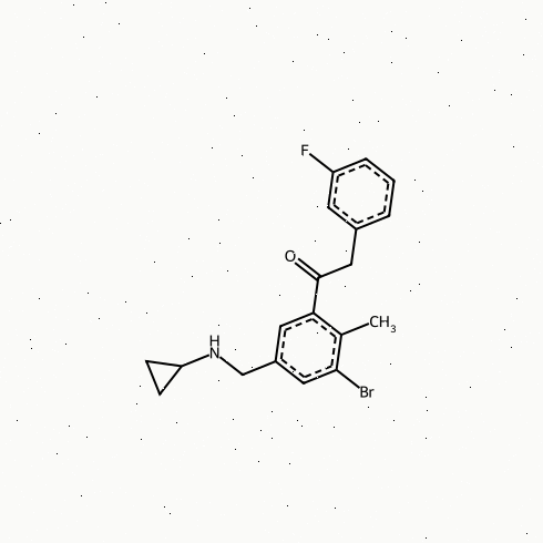 Cc1c(Br)cc(CNC2CC2)cc1C(=O)Cc1cccc(F)c1